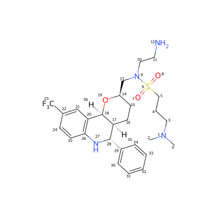 CN(C)CCCS(=O)(=O)N(CCN)C[C@H]1CC[C@@H]2[C@H](O1)c1cc(C(F)(F)F)ccc1N[C@H]2c1ccccc1